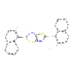 COc1ccc2ccccc2c1-c1nc2sc(-c3c(OC)ccc4ccccc34)nc2s1